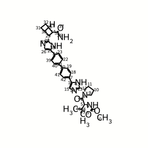 COC(=O)N[C@H](C(=O)N1CCC[C@H]1c1ncc(-c2ccc(-c3ccc(-c4cnc([C@@H]5C6CC[C@H]6[C@H]5C(N)=O)[nH]4)cc3)cc2)[nH]1)C(C)C